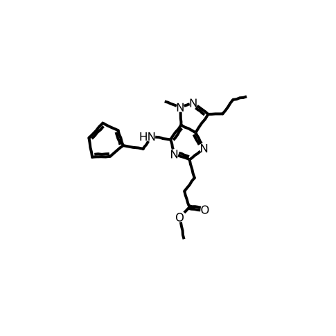 CCCc1nn(C)c2c(NCc3ccccc3)nc(CCC(=O)OC)nc12